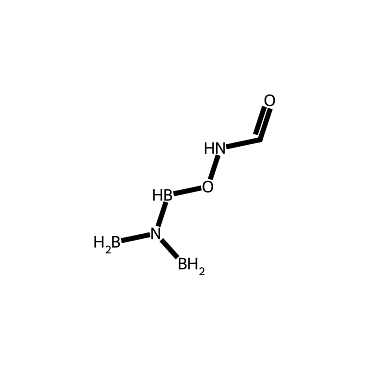 BN(B)BONC=O